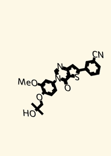 COc1cc(-n2cnc3cc(-c4cccc(C#N)c4)sc3c2=O)ccc1OCC(C)(C)O